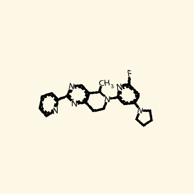 CC1c2cnc(-c3ccccn3)nc2CCN1c1cc(N2CCCC2)cc(F)n1